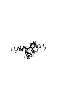 Cn1ncc2c1NS(=O)(I)(I)N=C2N=NN